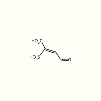 O=IC=C(C(=O)O)S(=O)(=O)O